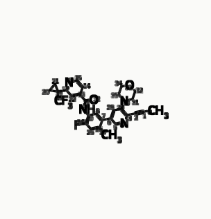 CC#Cc1ncc(-c2cc(NC(=O)c3ccnc(C4(C(F)(F)F)CC4)c3)c(F)cc2C)cc1N1CCOCC1